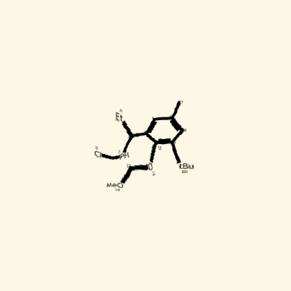 CCC(PCl)c1cc(C)cc(C(C)(C)C)c1OCOC